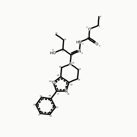 CCOC(=O)N/N=C(\C(O)CC)N1CCc2nc(-c3ccccc3)oc2C1